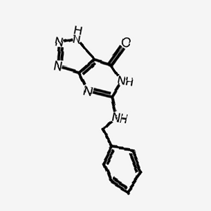 O=c1[nH]c(NCc2ccccc2)nc2nn[nH]c12